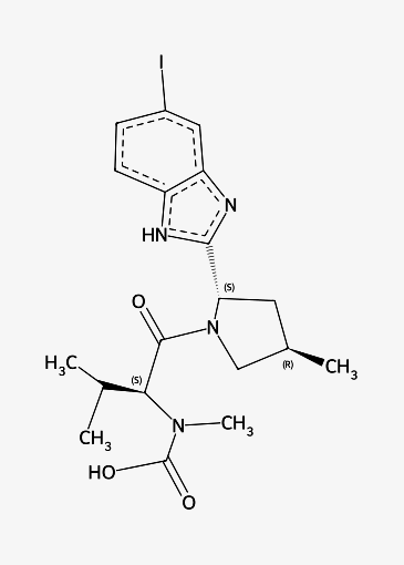 CC(C)[C@@H](C(=O)N1C[C@H](C)C[C@H]1c1nc2cc(I)ccc2[nH]1)N(C)C(=O)O